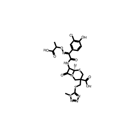 CC(ON=C(C(=O)NC1C(=O)N2CC(CSc3nnnn3C)(C(=O)O)CS[C@H]12)c1ccc(O)c(Cl)c1)C(=O)O